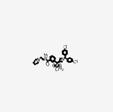 CS(=O)(=O)C(=C1CN(C(c2ccc(Cl)cc2)c2ccc(Cl)cc2)C1)c1cccc(C(=O)NCCN2CCCC2)c1